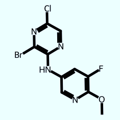 COc1ncc(Nc2ncc(Cl)nc2Br)cc1F